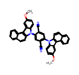 COc1ccc2c(c1)c1c3ccccc3ccc1n2-c1cc(C#N)c(-n2c3ccc(OC)cc3c3c4ccccc4ccc32)cc1C#N